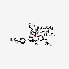 C=CCNC(=O)Oc1cc(O[Si](C(C)C)(C(C)C)C(C)C)c(OC)cc1C(=O)N1C=C(c2ccc(OC)cc2)C[C@H]1CO